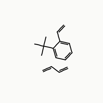 C=CC=C.C=Cc1ccccc1C(C)(C)C